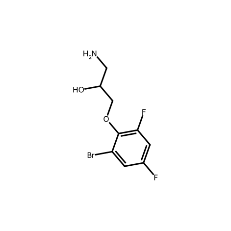 NCC(O)COc1c(F)cc(F)cc1Br